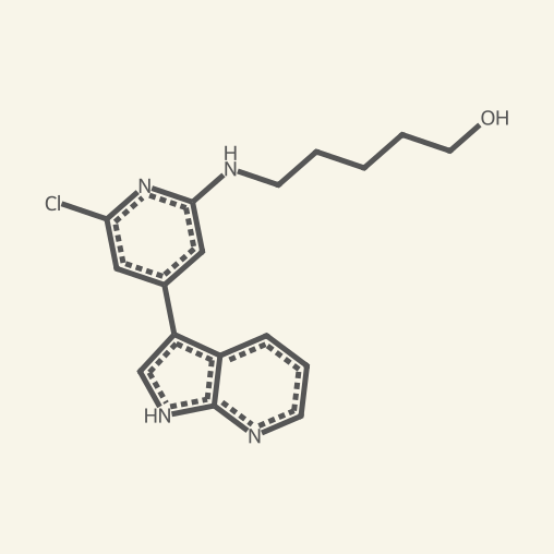 OCCCCCNc1cc(-c2c[nH]c3ncccc23)cc(Cl)n1